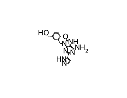 Nc1nc(-c2ccn[nH]2)nc2c1[nH]c(=O)n2Cc1cccc(CO)c1